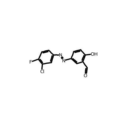 O=Cc1cc(N=Nc2ccc(F)c(Cl)c2)ccc1O